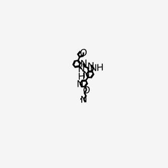 CN(C)CCOc1cncc(-c2ccc3[nH]nc(-c4nc5c(-c6ccoc6)cccc5[nH]4)c3n2)c1